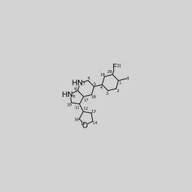 CC1CCC(C2CNC3NCC(C4CCOC4)C3C2)CC1F